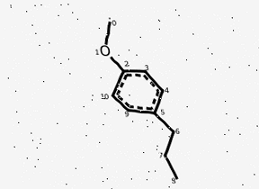 [CH2]Oc1ccc(CCC)cc1